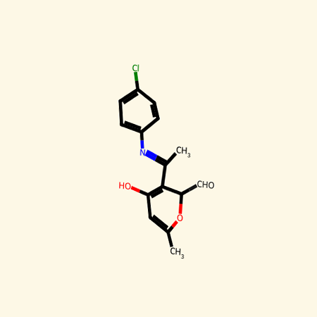 CC1=CC(O)=C(C(C)=Nc2ccc(Cl)cc2)C(C=O)O1